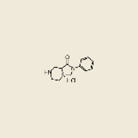 Cl.O=C1C2CNCCN2CN1c1ccccc1